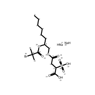 CCCCCCC(COC(=O)CC(C(=O)O)S(=O)(=O)O)OC(=O)C(C)(C)Br.[NaH].[NaH]